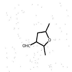 CC1CC(C=O)C(C)O1